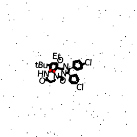 CCOc1cc(C(C)(C)C)ccc1C1=N[C@@H](c2ccc(Cl)cc2)[C@@H](c2ccc(Cl)cc2)N1C(=O)N1CCNC(=O)CC1